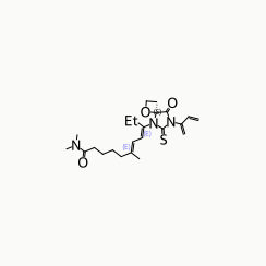 C=CC(=C)N1C(=O)[C@@]2(CCO2)N(/C(=C/C=C(\C)CCCCC(=O)N(C)C)CC)C1=S